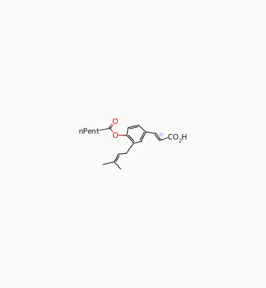 CCCCCC(=O)Oc1ccc(/C=C/C(=O)O)cc1CC=C(C)C